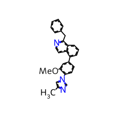 COc1cc(-c2cccc3c(Cc4ccccc4)nccc23)ccc1-n1cnc(C)c1